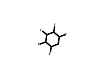 FC1[CH]C(F)C(F)C(F)C1F